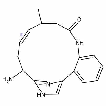 CC1/C=C\CC(N)c2nc(c[nH]2)-c2ccccc2NC(=O)C1